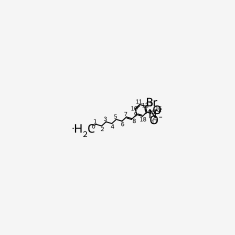 [CH2]CCCCCCC=Cc1ccc(Br)c([N+](=O)[O-])c1